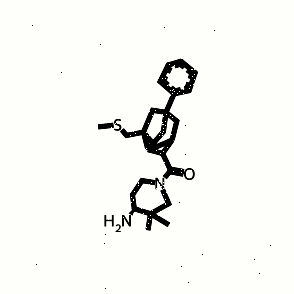 CSCC12CC3CC(c4ccccc4)(CC1C3C(=O)N1CC[C@H](N)C(C)(C)C1)C2